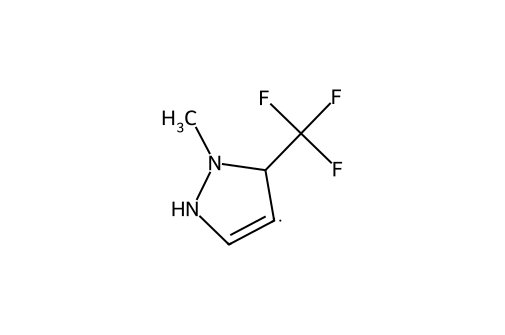 CN1NC=[C]C1C(F)(F)F